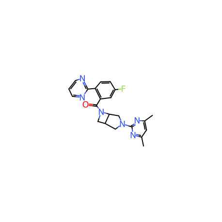 Cc1cc(C)nc(N2CC3CN(C(=O)c4cc(F)ccc4-c4ncccn4)C3C2)n1